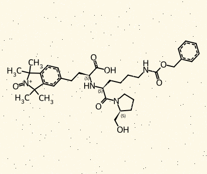 CC1(C)c2ccc(CC[C@H](N[C@@H](CCCCNC(=O)OCc3ccccc3)C(=O)N3CCC[C@H]3CO)C(=O)O)cc2C(C)(C)[N+]1=O